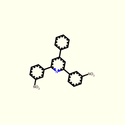 O=[N+]([O-])c1cccc(-c2cc(-c3ccccc3)cc(-c3cccc([N+](=O)[O-])c3)n2)c1